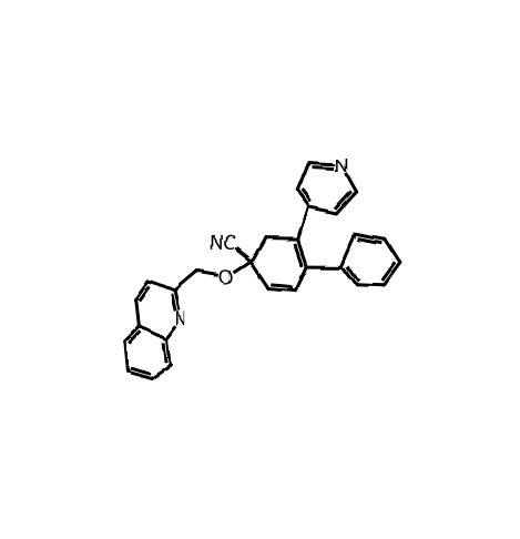 N#CC1(OCc2ccc3ccccc3n2)C=CC(c2ccccc2)=C(c2ccncc2)C1